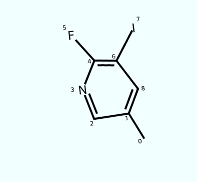 Cc1cnc(F)c(I)c1